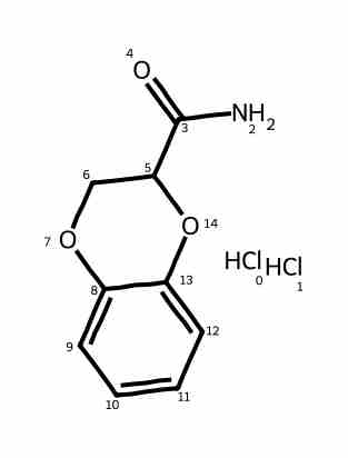 Cl.Cl.NC(=O)C1COc2ccccc2O1